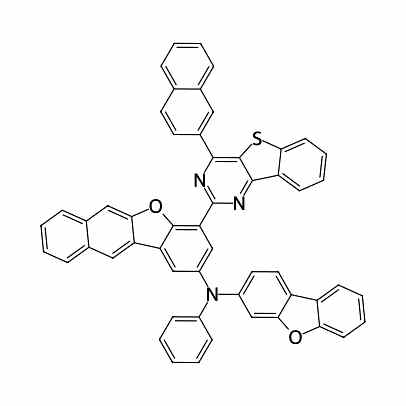 c1ccc(N(c2ccc3c(c2)oc2ccccc23)c2cc(-c3nc(-c4ccc5ccccc5c4)c4sc5ccccc5c4n3)c3oc4cc5ccccc5cc4c3c2)cc1